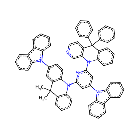 CC1(C)c2ccccc2N(c2cc(-n3c4ccccc4c4ccccc43)cc(N3c4ccccc4C(c4ccccc4)(c4ccccc4)c4ccncc43)n2)c2ccc(-n3c4ccccc4c4ccccc43)cc21